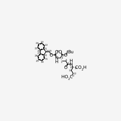 CC(C)(C)OC(=O)[C@H](CCC(=O)N[C@@H](CCC(=O)O)C(=O)O)NC(=O)OCC1c2ccccc2-c2ccccc21